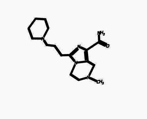 CN1CCn2c(CCCN3CCCCC3)nc(C(N)=O)c2C1